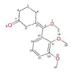 COC(=C1CCCC(=O)C1)c1cccc(OC)c1OC